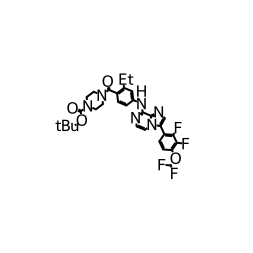 CCc1cc(Nc2nccn3c(-c4ccc(OC(F)F)c(F)c4F)cnc23)ccc1C(=O)N1CCN(C(=O)OC(C)(C)C)CC1